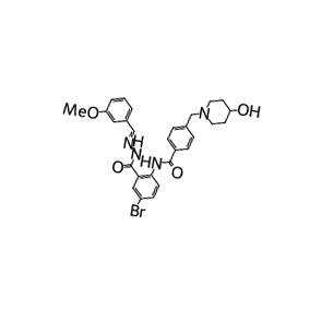 COc1cccc(C=NNC(=O)c2cc(Br)ccc2NC(=O)c2ccc(CN3CCC(O)CC3)cc2)c1